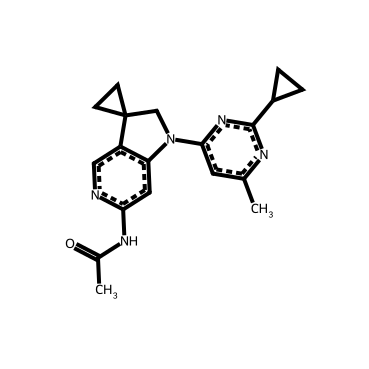 CC(=O)Nc1cc2c(cn1)C1(CC1)CN2c1cc(C)nc(C2CC2)n1